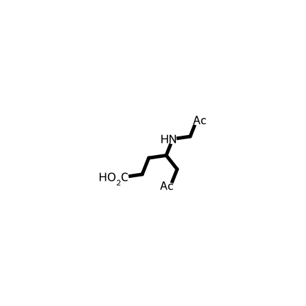 CC(=O)CNC(CCC(=O)O)CC(C)=O